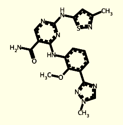 COc1c(Nc2nc(Nc3cc(C)ns3)ncc2C(N)=O)cccc1-c1ncn(C)n1